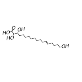 O=C(O)C(O)C(O)CCCCCCCCCC=CCCCCO